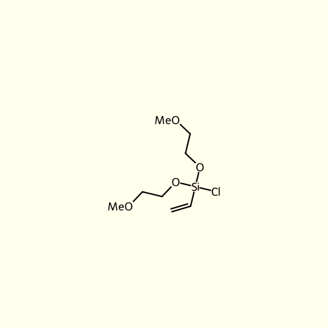 C=C[Si](Cl)(OCCOC)OCCOC